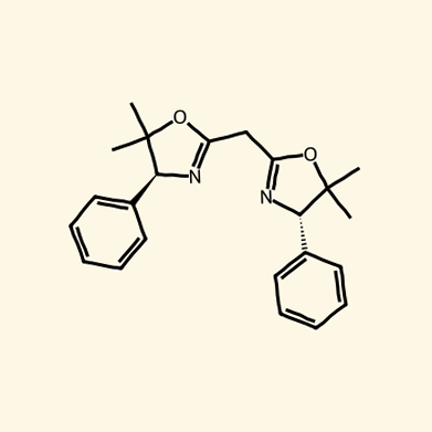 CC1(C)OC(CC2=N[C@@H](c3ccccc3)C(C)(C)O2)=N[C@H]1c1ccccc1